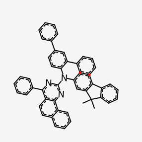 CC1(C)c2ccccc2-c2ccc(N(c3nc(-c4ccccc4)c4ccc5ccccc5c4n3)c3ccc(-c4ccccc4)cc3-c3ccccc3)cc21